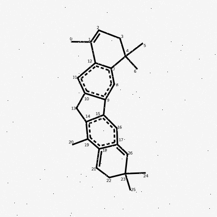 CC1=CCC(C)(C)c2cc3c(cc21)Cc1c-3cc2c(c1C)=CCC(C)(C)C=2